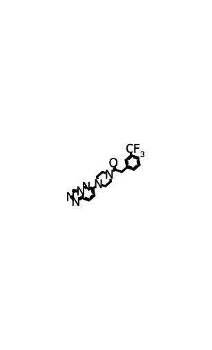 O=C(Cc1cccc(C(F)(F)F)c1)N1CCN(c2ccc3nncn3n2)CC1